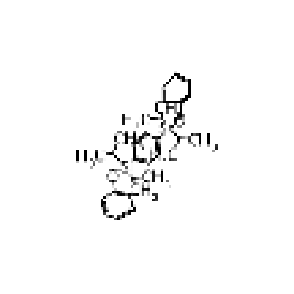 CC(C)[Si](Oc1ccccc1)(c1ccc([Si](Oc2ccccc2)(C(C)C)C(C)C)cc1)C(C)C